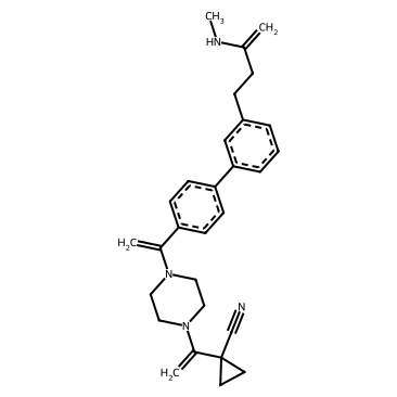 C=C(CCc1cccc(-c2ccc(C(=C)N3CCN(C(=C)C4(C#N)CC4)CC3)cc2)c1)NC